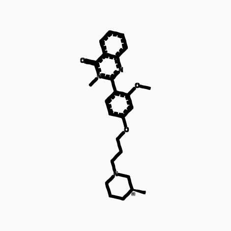 COc1cc(OCCCN2CCC[C@H](C)C2)ccc1-c1nc2ccccc2c(=O)n1C